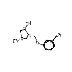 CC(C)c1cccc(OC[C@@H]2C[C@H](Cl)C[C@H]2O)c1